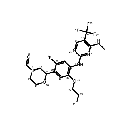 CNc1nc(Nc2cc(F)c(C3CN(C=O)CCO3)cc2OCCF)ncc1C(F)(F)F